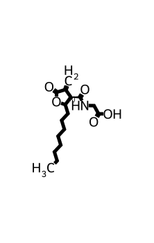 C=C1C(=O)OC(CCCCCCCC)[C@@H]1C(=O)NCC(=O)O